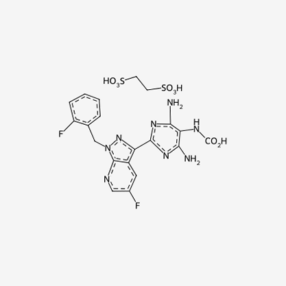 Nc1nc(-c2nn(Cc3ccccc3F)c3ncc(F)cc23)nc(N)c1NC(=O)O.O=S(=O)(O)CCS(=O)(=O)O